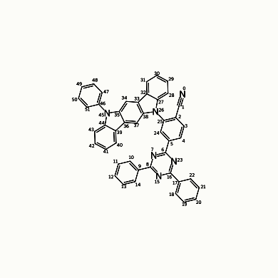 N#Cc1ccc(-c2nc(-c3ccccc3)nc(-c3ccccc3)n2)cc1-n1c2ccccc2c2cc3c(cc21)c1ccccc1n3-c1ccccc1